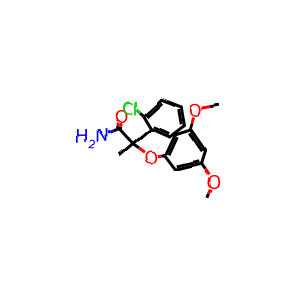 COc1cc(OC)cc(OC(C)(C(N)=O)c2ccccc2Cl)c1